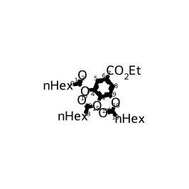 CCCCCCC(=O)Oc1cc(C(=O)OCC)cc(OC(=O)CCCCCC)c1OC(=O)CCCCCC